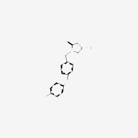 C[C@H]1[C@@H](O)CC(=O)N1Cc1ccc(Oc2ccc(F)cc2)cc1